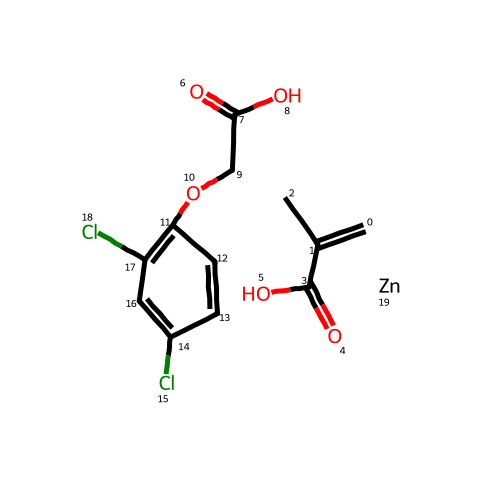 C=C(C)C(=O)O.O=C(O)COc1ccc(Cl)cc1Cl.[Zn]